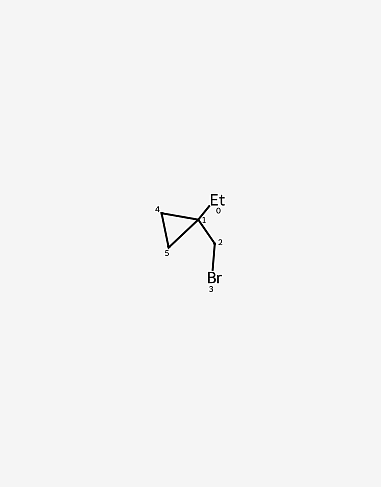 CCC1(CBr)CC1